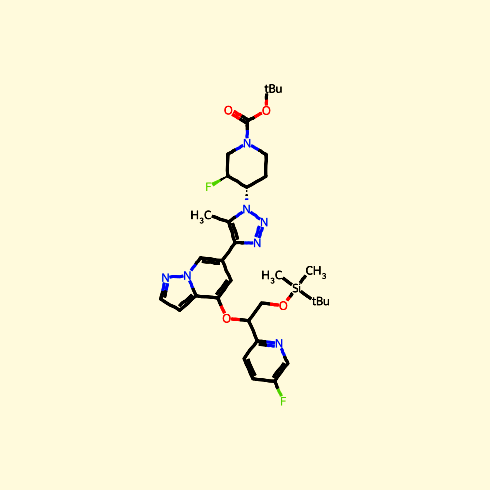 Cc1c(-c2cc(OC(CO[Si](C)(C)C(C)(C)C)c3ccc(F)cn3)c3ccnn3c2)nnn1[C@H]1CCN(C(=O)OC(C)(C)C)C[C@@H]1F